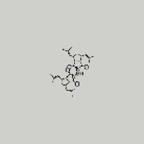 CC(C)=CC1CC(C=C(C)C)C2C(=O)N(BN3C(=O)C4C(C=C(C)C)CC(C=C(C)C)C4C3=O)C(=O)C12